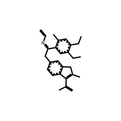 C=C/N=C(/Cc1ccc2c(c1)CC(C)=C2C(=C)C)c1cc(CC)c(CC)cc1C